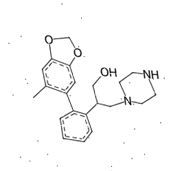 Cc1cc2c(cc1-c1ccccc1C(CO)CN1CCNCC1)OCO2